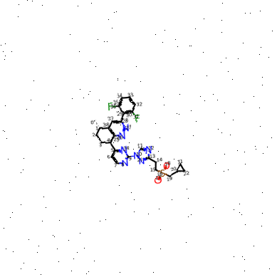 C[C@H]1CCC(c2ccnc(-n3cnc(CCS(=O)(=O)CC4CC4)n3)n2)c2nnc(-c3c(F)cccc3F)cc21